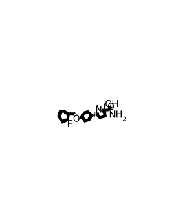 CN1[C@@H](c2ccc(OCc3ccccc3F)cc2)CC[C@@]1(CO)C(N)=O